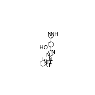 CN(c1cnc(-c2ccc(-c3cn[nH]c3)cc2O)cn1)[C@@H]1C[C@@]2(C)CCC[C@](C)(N2)[C@@H]1F